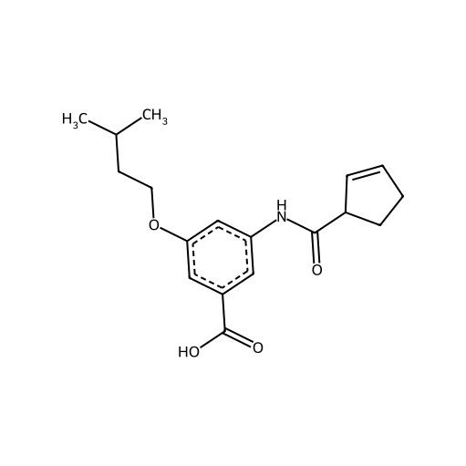 CC(C)CCOc1cc(NC(=O)C2C=CCC2)cc(C(=O)O)c1